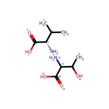 CC(C)[C@H](N)C(=O)O.CC(O)C(N)C(=O)O